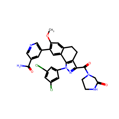 COc1cc2c(cc1-c1cncc(C(N)=O)c1)-c1c(c(C(=O)N3CCNC(=O)C3)nn1-c1cc(Cl)cc(Cl)c1)CC2